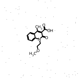 COCCn1c(=O)c(C(=O)O)c(C)c2ccccc21